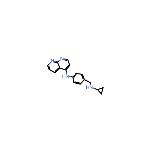 c1cnc2nccc(Nc3ccc(CNC4CC4)cc3)c2c1